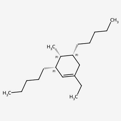 CCCCC[C@@H]1CC(CC)=C[C@H](CCCCC)[C@@H]1C